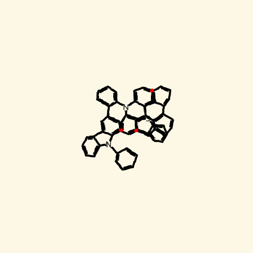 c1ccc(-c2cccc3cccc(-c4ccccc4N(c4ccccc4-c4ccc5c(c4)c4ccccc4n5-c4ccccc4)c4cccc5c4sc4ccccc45)c23)cc1